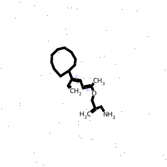 C=C/C(=C\C=C(/C)OCC(=C)CN)C1CCCCCCCCC1